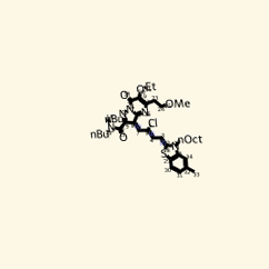 CCCCCCCCN1/C(=C/C=C(Cl)/C=c2/c(C(=O)N(CCCC)CCCC)nn3c(=O)c(OCC)c(CCOC)nc23)Sc2ccc(C)cc21